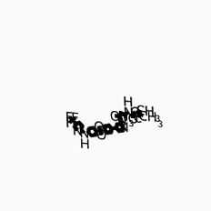 CC(C)(C)OC(=O)NC1CC(=O)N(c2cc(-c3ccc(S(=O)(=O)[C@H]4CC[C@H](Nc5ccc(C(F)(F)F)cn5)CC4)cc3)ccn2)C1